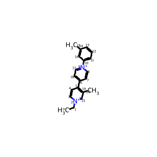 CC[n+]1ccc(-c2cc[n+](-c3cccc(C)c3)cc2)c(C)c1